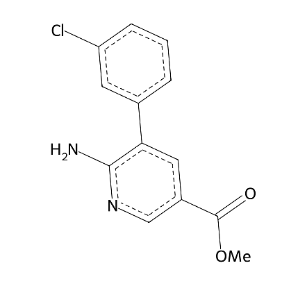 COC(=O)c1cnc(N)c(-c2cccc(Cl)c2)c1